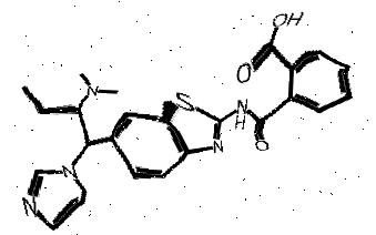 CCC(C(c1ccc2nc(NC(=O)c3ccccc3C(=O)O)sc2c1)n1ccnc1)N(C)C